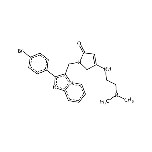 CN(C)CCNC1=CC(=O)N(Cc2c(-c3ccc(Br)cc3)nc3ccccn23)C1